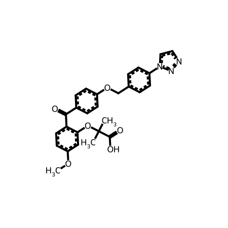 COc1ccc(C(=O)c2ccc(OCc3ccc(-n4ccnn4)cc3)cc2)c(OC(C)(C)C(=O)O)c1